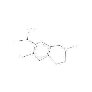 COC(C)c1nc2c(cc1C(C)C)CCN(C)C2